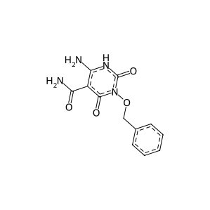 NC(=O)c1c(N)[nH]c(=O)n(OCc2ccccc2)c1=O